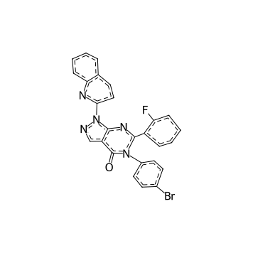 O=c1c2cnn(-c3ccc4ccccc4n3)c2nc(-c2ccccc2F)n1-c1ccc(Br)cc1